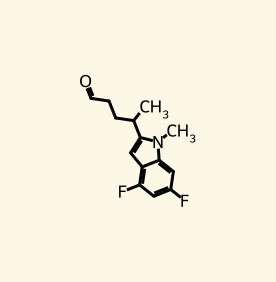 CC(CCC=O)c1cc2c(F)cc(F)cc2n1C